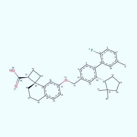 Cc1ccc(F)c(-c2ccc(COc3ccc4c(c3)[C@@]3(CCC4)CC[C@@H]3C(=O)O)cc2[C@@H]2CCCC2(C)C)c1